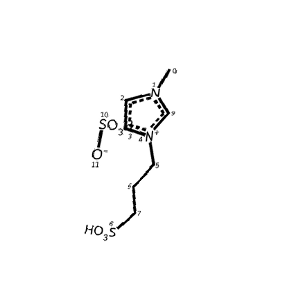 Cn1cc[n+](CCCS(=O)(=O)O)c1.O=S(=O)([O-])O